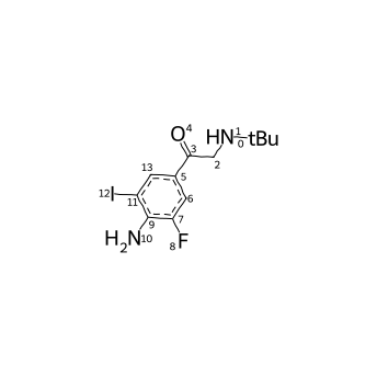 CC(C)(C)NCC(=O)c1cc(F)c(N)c(I)c1